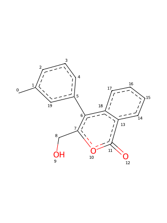 Cc1cccc(-c2c(CO)oc(=O)c3ccccc23)c1